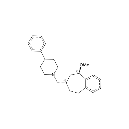 CO[C@@H]1C[C@@H](CN2CCC(c3ccccc3)CC2)CCc2ccccc21